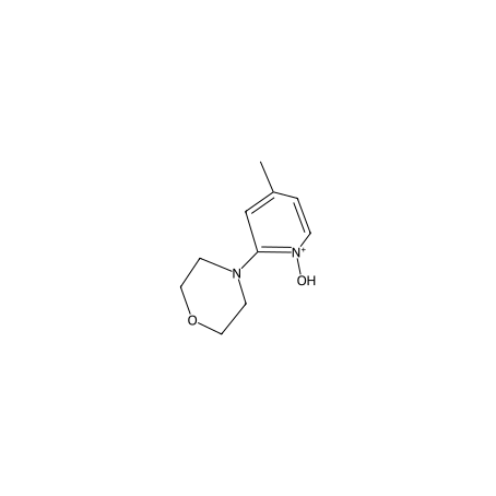 Cc1cc[n+](O)c(N2CCOCC2)c1